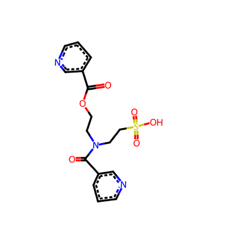 O=C(OCCN(CCS(=O)(=O)O)C(=O)c1cccnc1)c1cccnc1